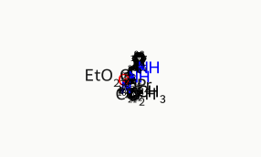 CCOC(=O)C(Cc1c[nH]c2ccccc12)N[C@H](C(=O)N(CC(=O)O)c1cccc(C)c1)C(C)C